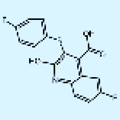 O=C(O)c1c(Sc2ccc(F)cc2)c(O)nc2ccc(F)cc12